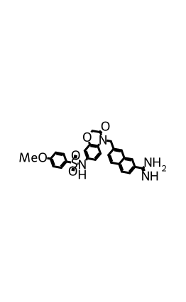 COc1ccc(S(=O)(=O)Nc2ccc3c(c2)OCC(=O)N3Cc2ccc3ccc(C(=N)N)cc3c2)cc1